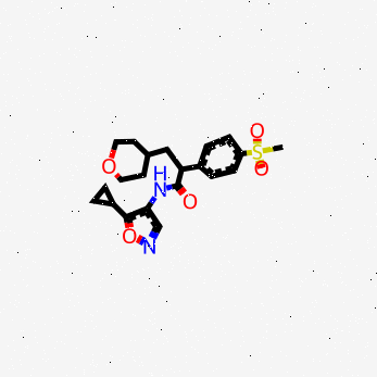 CS(=O)(=O)c1ccc(C(CC2CCOCC2)C(=O)Nc2cnoc2C2CC2)cc1